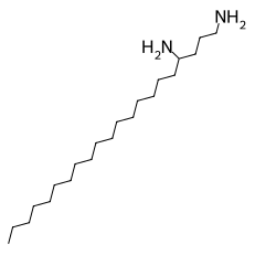 CCCCCCCCCCCCCCCCCC(N)CCCN